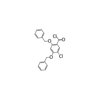 O=C(Cl)c1cc(Cl)c(OCc2ccccc2)cc1OCc1ccccc1